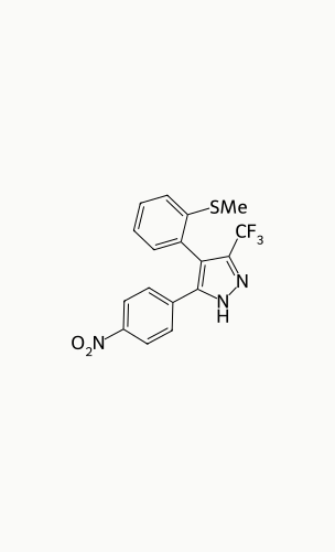 CSc1ccccc1-c1c(C(F)(F)F)n[nH]c1-c1ccc([N+](=O)[O-])cc1